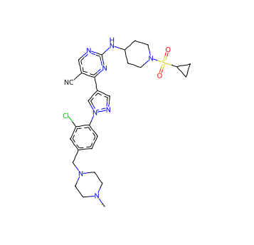 CN1CCN(Cc2ccc(-n3cc(-c4nc(NC5CCN(S(=O)(=O)C6CC6)CC5)ncc4C#N)cn3)c(Cl)c2)CC1